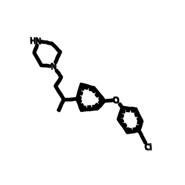 CC(CCN1CCNCC1)c1ccc(Oc2ccc(Cl)cc2)cc1